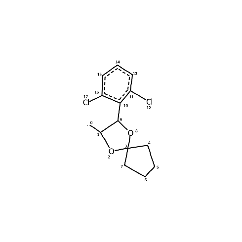 [CH2]C1OC2(CCCC2)OC1c1c(Cl)cccc1Cl